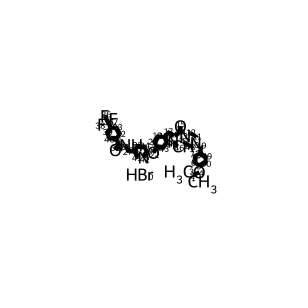 Br.CC(C)Oc1ccc(CN2CCN(C(=O)c3cc4ccc(Oc5ccc(CNC(=O)c6ccc(C(F)(F)F)cc6)cn5)cc4n3C)CC2)cc1